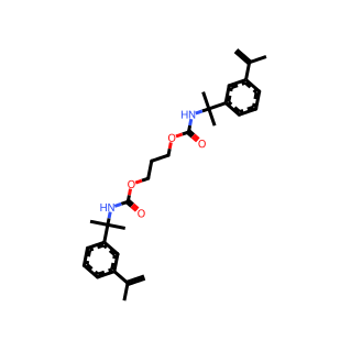 C=C(C)c1cccc(C(C)(C)NC(=O)OCCCOC(=O)NC(C)(C)c2cccc(C(=C)C)c2)c1